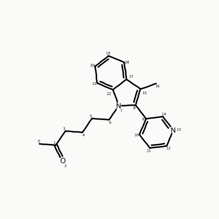 CC(=O)CCCCn1c(-c2cccnc2)c(C)c2ccccc21